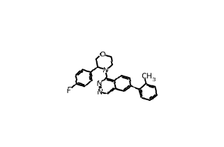 Cc1ccccc1-c1ccc2c(N3CCOCC3c3ccc(F)cc3)nncc2c1